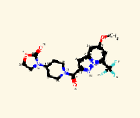 COc1cc(C(F)(F)F)n2nc(C(=O)N3CCC(N4CCOC4=O)CC3)cc2c1